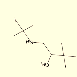 CC(C)(I)NCC(O)C(C)(C)C